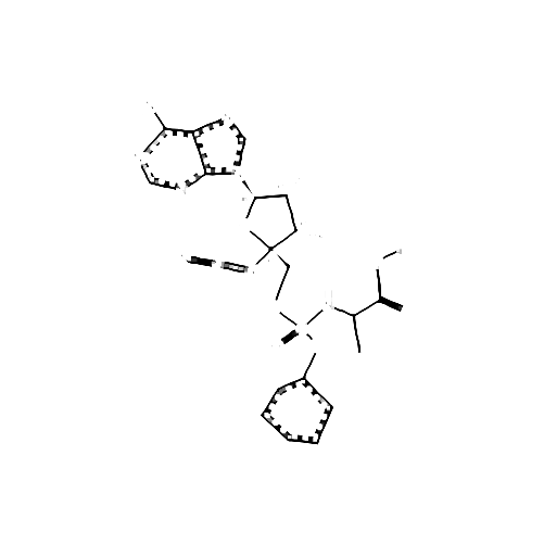 CC(C)OC(=O)C(C)NP(=O)(OC[C@@]1(N=[N+]=[N-])O[C@@H](n2cnc3c(N)ncnc32)[C@H](F)[C@@H]1O)Oc1ccccc1